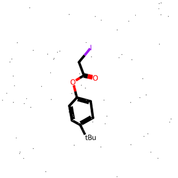 CC(C)(C)c1ccc(OC(=O)CI)cc1